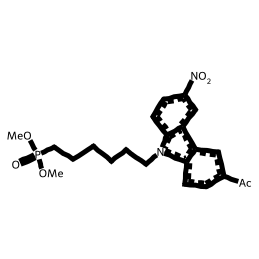 COP(=O)(CCCCCCn1c2ccc(C(C)=O)cc2c2cc([N+](=O)[O-])ccc21)OC